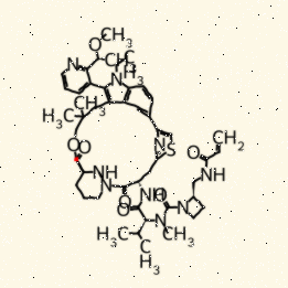 C=CC(=O)NC[C@H]1CCN1C(=O)N(C)[C@H](C(=O)N[C@H]1Cc2nc(cs2)-c2ccc3c(c2)c(c(-c2cccnc2[C@H](C)OC)n3CC)CC(C)(C)COCC2(C=O)CCCN(N2)C1=O)C(C)C